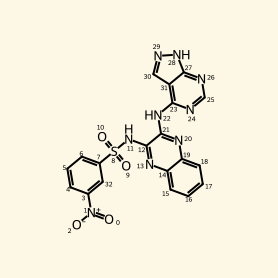 O=[N+]([O-])c1cccc(S(=O)(=O)Nc2nc3ccccc3nc2Nc2ncnc3[nH]ncc23)c1